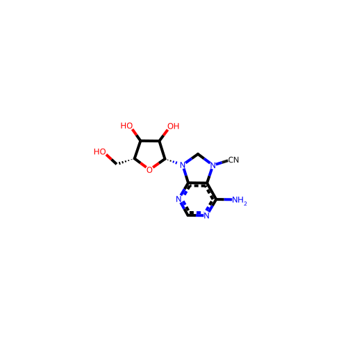 N#CN1CN([C@@H]2O[C@H](CO)C(O)C2O)c2ncnc(N)c21